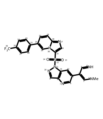 CN/C=C(\C=N)c1cnc2cnn(S(=O)(=O)c3cnc4ccc(-c5ccc(C(F)(F)F)cc5)cn34)c2c1